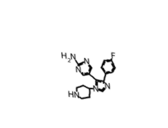 Nc1ncc(-c2c(-c3ccc(F)cc3)ncn2C2CCNCC2)cn1